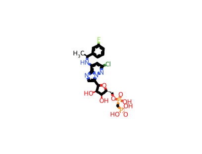 C[C@H](Nc1cc(Cl)nn2c(C3O[C@H](COP(=O)(O)CP(=O)(O)O)[C@@H](O)[C@H]3O)cnc12)c1cccc(F)c1